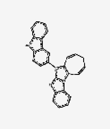 C1=Cc2c(n3c4ccccc4nc3n2-c2ccc3[nH]c4ccccc4c3c2)C=CC1